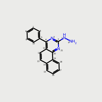 NNc1nc(-c2ccccc2)c2ccc3ccccc3c2n1